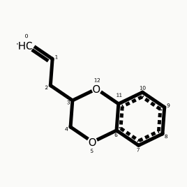 [CH]=CCC1COc2ccccc2O1